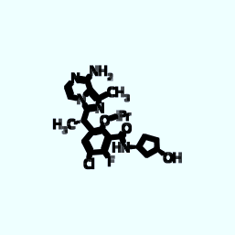 Cc1nc([C@@H](C)c2cc(Cl)c(F)c(C(=O)N[C@H]3CC[C@@H](O)C3)c2OC(C)C)n2ccnc(N)c12